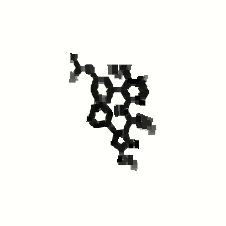 Cc1cc(-c2ccccc2)c(C(C)Nc2ncnc(N)c2-c2cncc(OC(F)F)c2)[nH]1